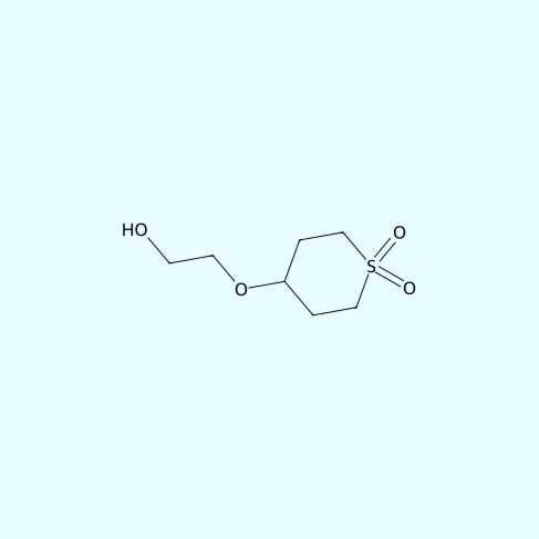 O=S1(=O)CCC(OCCO)CC1